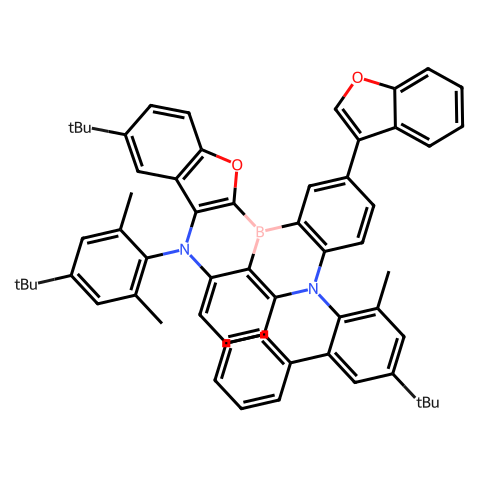 Cc1cc(C(C)(C)C)cc(C)c1N1c2cccc3c2B(c2cc(-c4coc5ccccc45)ccc2N3c2c(C)cc(C(C)(C)C)cc2-c2ccccc2)c2oc3ccc(C(C)(C)C)cc3c21